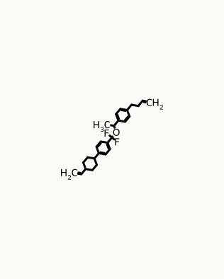 C=CCCc1ccc(C(C)OC(F)(F)c2ccc(C3CCC(C=C)CC3)cc2)cc1